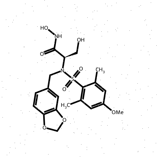 COc1cc(C)c(S(=O)(=O)N(Cc2ccc3c(c2)OCO3)[C@H](CO)C(=O)NO)c(C)c1